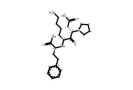 NCCCC[C@H](N[C@@H](CCc1ccccc1)C(=O)O)C(=O)[C@H](CC(=O)O)N1CCCC1